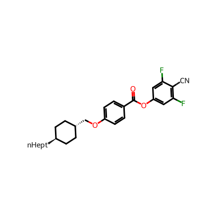 CCCCCCC[C@H]1CC[C@H](COc2ccc(C(=O)Oc3cc(F)c(C#N)c(F)c3)cc2)CC1